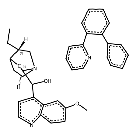 CC[C@@H]1CN2CCC1C[C@@H]2C(O)c1ccnc2ccc(OC)cc12.c1ccc(-c2ccccc2-c2ccccn2)cc1